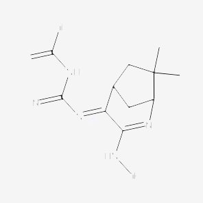 CC(C)NC1=NC2CC(CC2(C)C)/C1=N\C(=N)NC(=O)C(C)C